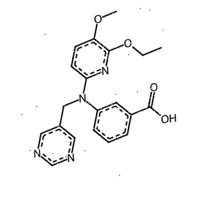 CCOc1nc(N(Cc2cncnc2)c2cccc(C(=O)O)c2)ccc1OC